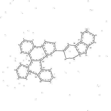 C1=C(c2ccc3c4ccccc4c4c5ccccc5c5ccccc5c4c3c2)CCc2oc3ccccc3c21